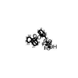 O=C(OC12CC3CC(CC(COC(=O)C(F)(F)S(=O)(=O)O)(C3)C1)C2)C12CC3CC(C1)C1CCCC3C1C2